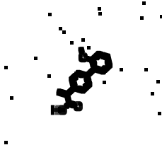 C=C(C(=O)O)c1ccc(-c2ccccc2OC)cc1